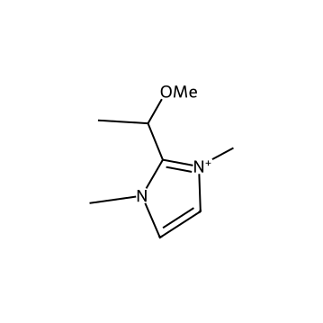 COC(C)c1n(C)cc[n+]1C